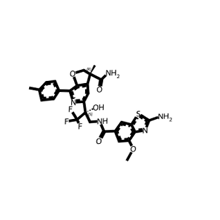 COc1cc(C(=O)NC[C@](O)(c2cc3c(c(-c4ccc(C)cc4)n2)OC[C@]3(C)C(N)=O)C(F)(F)F)cc2sc(N)nc12